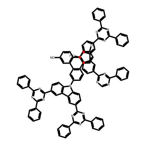 N#Cc1ccc(-n2c3ccc(-c4ncnc(-c5ccccc5)n4)cc3c3cc(-c4nc(-c5ccccc5)nc(-c5ccccc5)n4)ccc32)c(-c2cc(-n3c4ccc(-c5nc(-c6ccccc6)nc(-c6ccccc6)n5)cc4c4cc(-c5nc(-c6ccccc6)nc(-c6ccccc6)n5)ccc43)ccc2-c2ccc(C(F)(F)F)cc2C(F)(F)F)c1